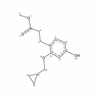 COC(=O)CCc1ccc(O)cc1OCC1CC1